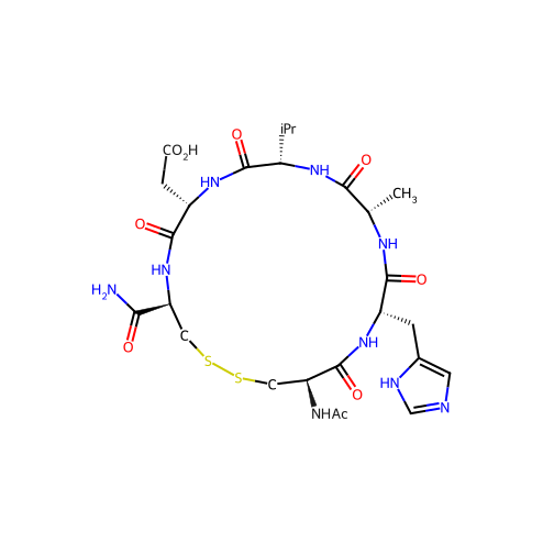 CC(=O)N[C@H]1CSSC[C@@H](C(N)=O)NC(=O)[C@H](CC(=O)O)NC(=O)[C@H](C(C)C)NC(=O)[C@H](C)NC(=O)[C@H](Cc2cnc[nH]2)NC1=O